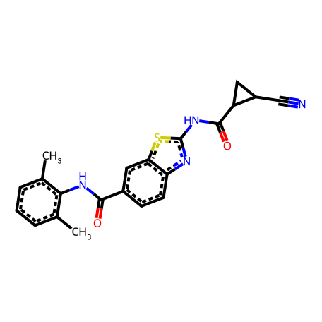 Cc1cccc(C)c1NC(=O)c1ccc2nc(NC(=O)C3CC3C#N)sc2c1